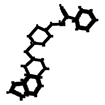 O=C(NCC1CCN(CC2COc3ccc4[nH]ncc4c3O2)CC1)c1ccccn1